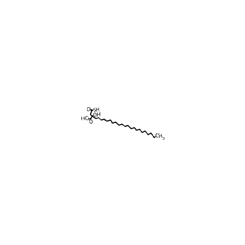 CCCCCCCCCCCCCCCCCCCCCCC(O)(CC(=O)S)C(=O)O